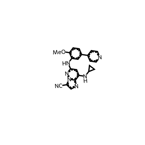 COc1ccc(-c2ccncc2)cc1Nc1cc(NC2CC2)c2ncc(C#N)n2n1